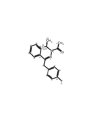 CC(=O)N(N=C(Cc1ccc(F)cc1)c1ccccc1)C(C)C